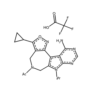 CC(=O)N1Cc2c(noc2C2CC2)-c2c(n(C(C)C)c3ncnc(N)c23)C1.O=C(O)C(F)(F)F